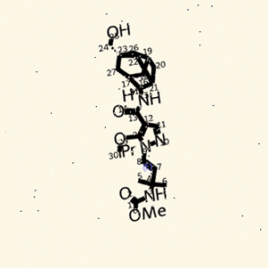 COC(=O)NC(C)(C)/C=C/n1ncc(C(=O)N[C@H]2C3CC4CC2C[C@](CO)(C4)C3)c1OC(C)C